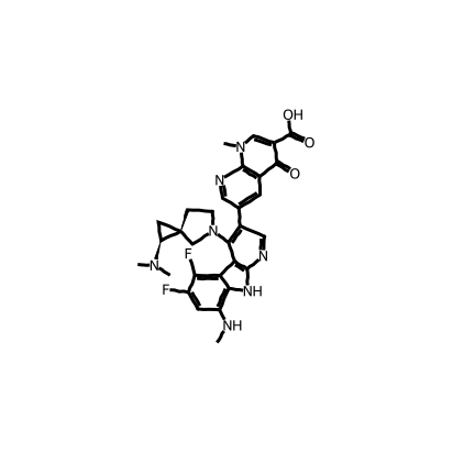 CNc1cc(F)c(F)c2c1[nH]c1ncc(-c3cnc4c(c3)c(=O)c(C(=O)O)cn4C)c(N3CC[C@@]4(C[C@@H]4N(C)C)C3)c12